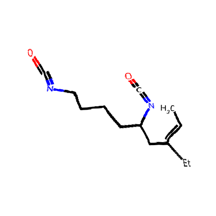 CC=C(CC)CC(CCCCN=C=O)N=C=O